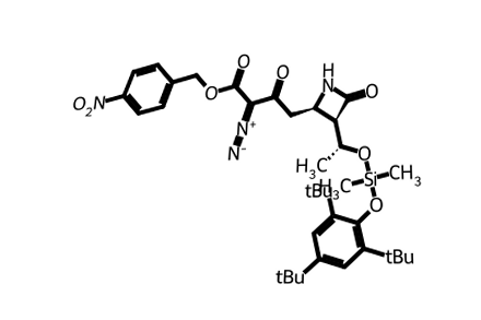 C[C@@H](O[Si](C)(C)Oc1c(C(C)(C)C)cc(C(C)(C)C)cc1C(C)(C)C)[C@@H]1C(=O)N[C@@H]1CC(=O)C(=[N+]=[N-])C(=O)OCc1ccc([N+](=O)[O-])cc1